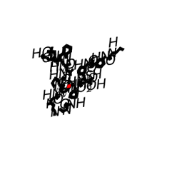 CCCNC(=O)Nc1cccc(S(=O)(=O)Nc2cccc([C@@](S)(CC(=O)O)NC(=O)Nc3ccc(NC(=O)N(C)CCN(C)CCN(C)CC(=O)N[C@H](C(=O)N4CCC[C@H]4C(=O)N[C@H](C(=O)Nc4nc5ccccc5c5c4nc(COCC)n5CC(C)(C)O)C(C)C)[C@H](C)CC(N)=O)cc3)c2)c1